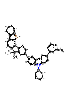 C=C/C=C(\C=C/C)c1ccc2c(c1)c1cc(-c3ccc4c(c3)C(C)(C)c3ccc5c(sc6ccccc65)c3-4)ccc1n2-c1ccccc1